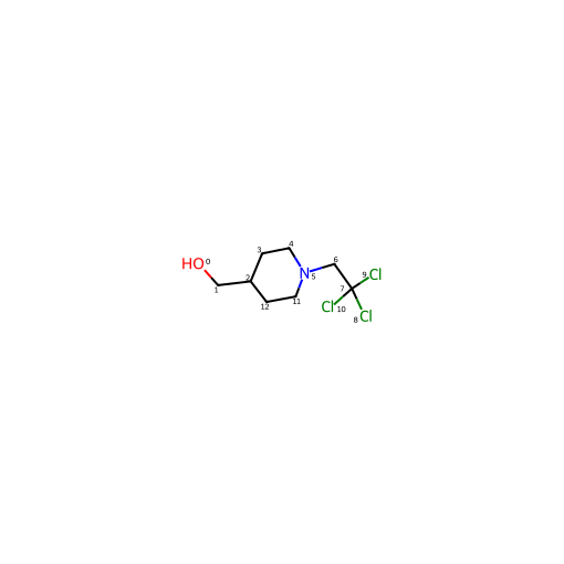 OCC1CCN(CC(Cl)(Cl)Cl)CC1